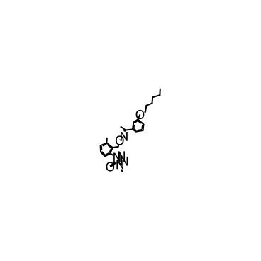 CCCCCCOc1cccc(C(C)=NOCc2c(C)cccc2-n2nnn(C)c2=O)c1